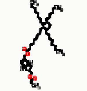 C=CC(=O)OCC1C[C@@H]2C3CC(CC3COC(=O)CCCCCCCCC3C(CCCCCCCC)CCC(CCCCCC)C3CCCCCCCC)[C@@H]2C1